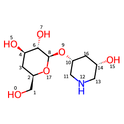 OC[C@H]1C[C@@H](O)[C@H](O)[C@@H](O[C@H]2CNC[C@@H](O)C2)O1